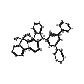 CC1(C)c2ccccc2-c2ccc3c(c21)c1ccccc1n3-c1nc(-c2ccccc2)cc(-c2ccccc2)n1